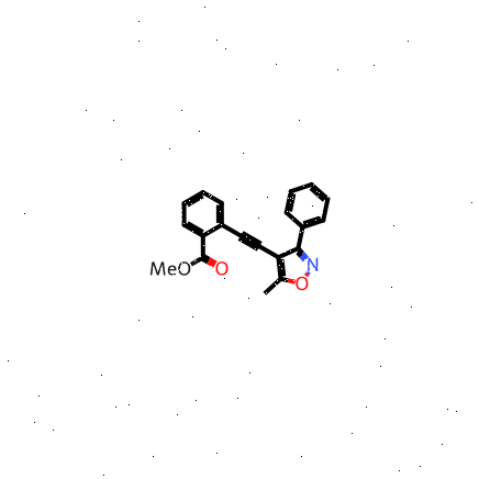 COC(=O)c1ccccc1C#Cc1c(-c2ccccc2)noc1C